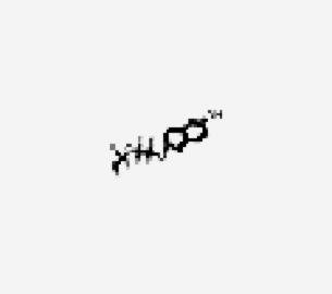 Oc1ccc2cc(OC(F)(F)C(F)(F)OC(F)(F)CF)ccc2c1